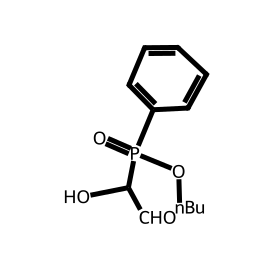 CCCCOP(=O)(c1ccccc1)C(O)C=O